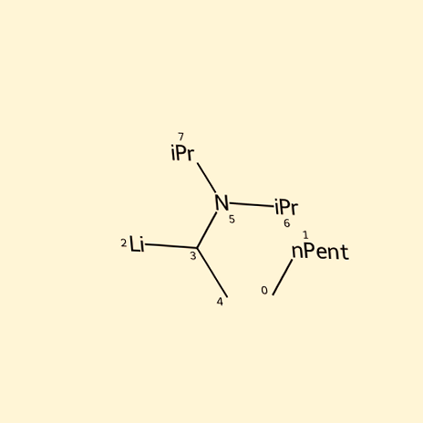 CCCCCC.[Li][CH](C)N(C(C)C)C(C)C